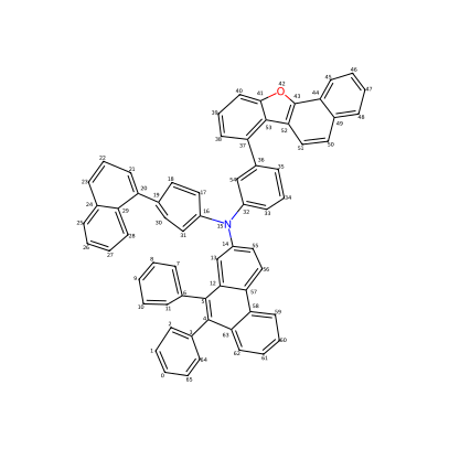 c1ccc(-c2c(-c3ccccc3)c3cc(N(c4ccc(-c5cccc6ccccc56)cc4)c4cccc(-c5cccc6oc7c8ccccc8ccc7c56)c4)ccc3c3ccccc23)cc1